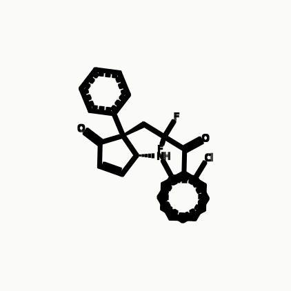 O=C(c1ccccc1)C(F)(F)C[C@]1(c2ccccc2)C(=O)C=C[C@H]1Nc1ccccc1Cl